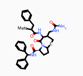 CNC(Cc1ccccc1)C(=O)NC1C(=O)N2C(CCC1CNC(N)=O)CC[C@H]2C(=O)NC(c1ccccc1)c1ccccc1